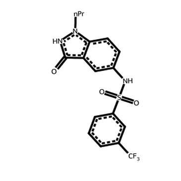 CCCn1[nH]c(=O)c2cc(NS(=O)(=O)c3cccc(C(F)(F)F)c3)ccc21